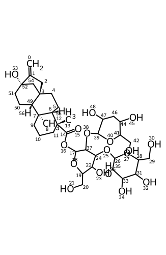 C=C1C[C@@]23CC[C@H]4[C@@](C)(CCC[C@@]4(C)C(=O)OC4OC(CO)C(O)C(OC5OC(CO)C(O)C(O)C5O)C4OC4OC(CO)C(O)CC4O)[C@@H]2CC[C@]1(O)C3